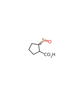 O=S=C1CCCC1C(=O)O